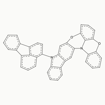 c1ccc2c(c1)Oc1cccc3c1N2c1cc2c4ccccc4n(-c4ccc5c6c(cccc46)-c4ccccc4-5)c2cc1O3